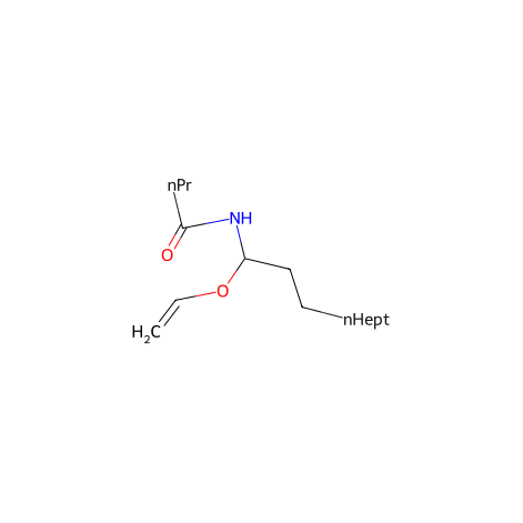 C=COC(CCCCCCCCC)NC(=O)CCC